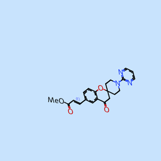 COC(=O)/C=C/c1ccc2c(c1)C(=O)CC1(CCN(c3ncccn3)CC1)O2